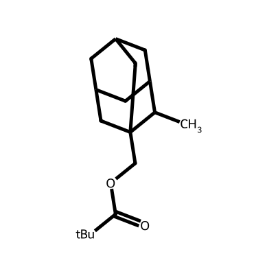 CC1C2CC3CC(C2)CC1(COC(=O)C(C)(C)C)C3